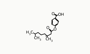 CC(C)CCC[C@H](C)CC(=O)Oc1ccc(C(=O)O)cc1